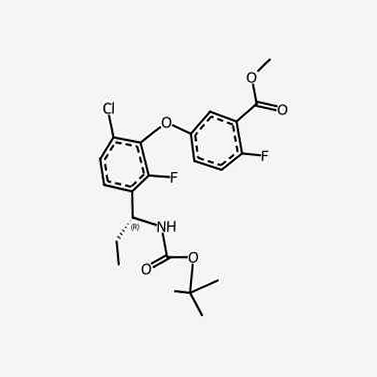 CC[C@@H](NC(=O)OC(C)(C)C)c1ccc(Cl)c(Oc2ccc(F)c(C(=O)OC)c2)c1F